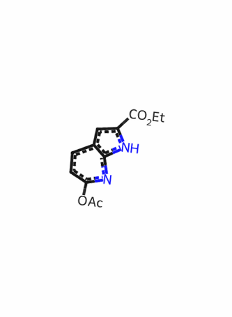 CCOC(=O)c1cc2ccc(OC(C)=O)nc2[nH]1